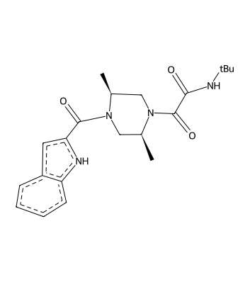 C[C@H]1CN(C(=O)c2cc3ccccc3[nH]2)[C@@H](C)CN1C(=O)C(=O)NC(C)(C)C